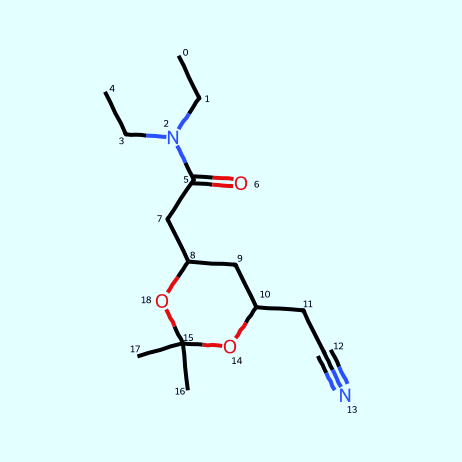 CCN(CC)C(=O)CC1CC(CC#N)OC(C)(C)O1